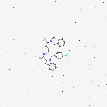 CN(Cc1ccccc1)C(=O)C1CCN(C(=O)C2Cc3ccccc3N2Cc2ccc(Cl)cc2)CC1